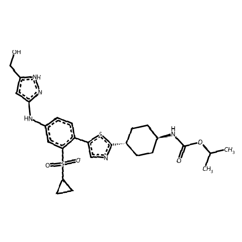 CC(C)OC(=O)N[C@H]1CC[C@H](c2ncc(-c3ccc(Nc4cc(CO)[nH]n4)cc3S(=O)(=O)C3CC3)s2)CC1